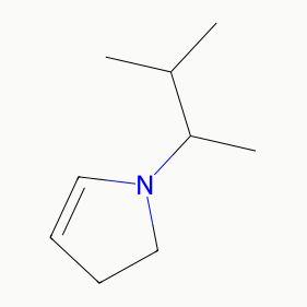 CC(C)C(C)N1C=CCC1